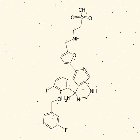 CS(=O)(=O)CCNCc1ccc(-c2cc3c(cn2)NC=NC3(N)c2cccc(I)c2OCc2cccc(F)c2)o1